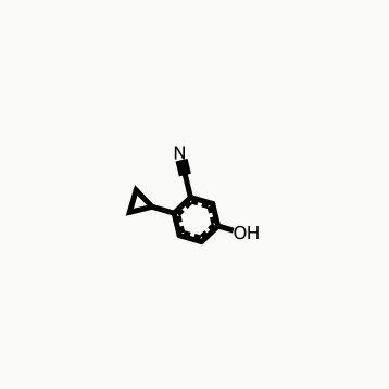 N#Cc1cc(O)ccc1C1CC1